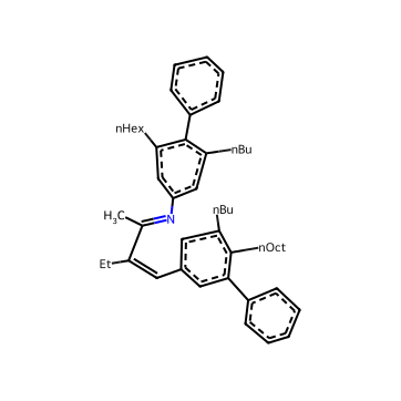 CCCCCCCCc1c(CCCC)cc(C=C(CC)C(C)=Nc2cc(CCCC)c(-c3ccccc3)c(CCCCCC)c2)cc1-c1ccccc1